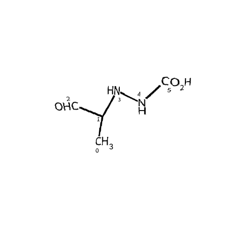 CC(C=O)NNC(=O)O